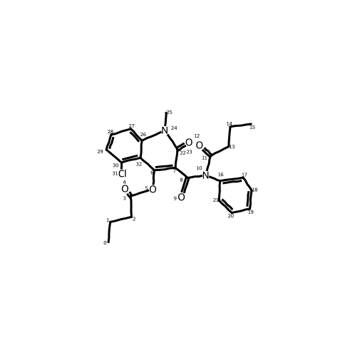 CCCC(=O)Oc1c(C(=O)N(C(=O)CCC)c2ccccc2)c(=O)n(C)c2cccc(Cl)c12